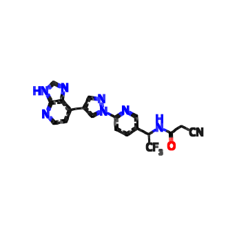 N#CCC(=O)NC(c1ccc(-n2cc(-c3ccnc4[nH]cnc34)cn2)nc1)C(F)(F)F